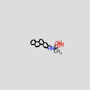 CC(CO)(CO)NCc1ccc2c(ccc3c4ccccc4ccc23)c1